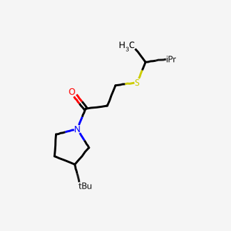 CC(C)C(C)SCCC(=O)N1CCC(C(C)(C)C)C1